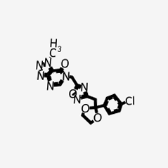 Cn1nnc2ncn(Cc3nc(CC4(c5ccc(Cl)cc5)OCCO4)no3)c(=O)c21